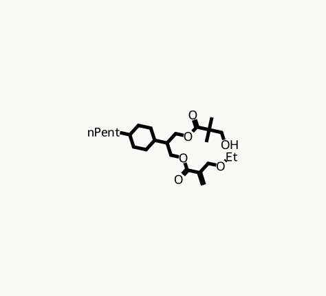 C=C(COCC)C(=O)OCC(COC(=O)C(C)(C)CO)C1CCC(CCCCC)CC1